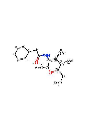 CC(=O)OC[C@H]1OC(OC(C)=O)[C@@H](NC(=O)CC2CCCCC2)[C@@H](OC(C)=O)[C@@H]1OC(C)=O